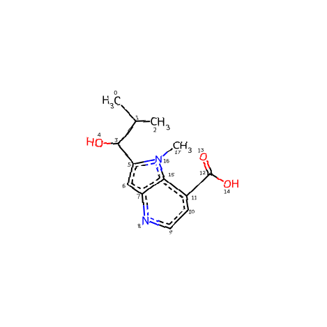 CC(C)C(O)c1cc2nccc(C(=O)O)c2n1C